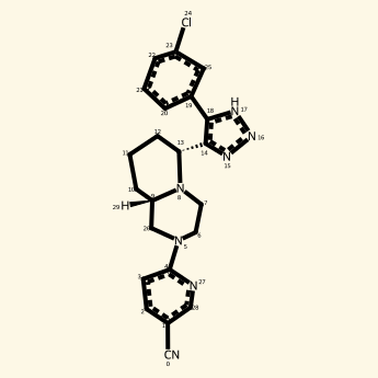 N#Cc1ccc(N2CCN3[C@@H](CCC[C@@H]3c3nn[nH]c3-c3cccc(Cl)c3)C2)nc1